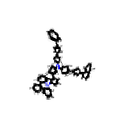 C1=CCC(c2ccc(-c3ccc(N(c4ccc(-c5ccc(-c6cccc7ccccc67)cc5)cc4)c4cccc(-c5cccc6c5c5cccc(-c7ccccc7)c5n6-c5ccccc5)c4)cc3)cc2)C=C1